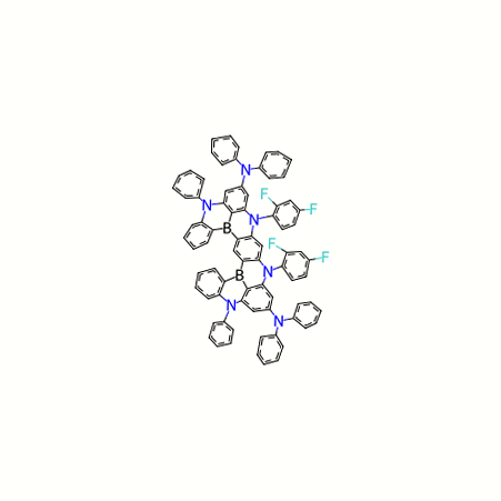 Fc1ccc(N2c3cc4c(cc3B3c5ccccc5N(c5ccccc5)c5cc(N(c6ccccc6)c6ccccc6)cc2c53)B2c3ccccc3N(c3ccccc3)c3cc(N(c5ccccc5)c5ccccc5)cc(c32)N4c2ccc(F)cc2F)c(F)c1